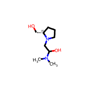 CN(C)C(O)CN1CCC[C@H]1CO